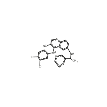 CC(Nc1ccc2ncc(C#N)c(Nc3ccc(F)c(Cl)c3)c2c1)c1cnccn1